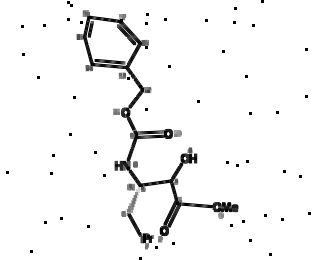 COC(=O)C(O)[C@H](CC(C)C)NC(=O)OCc1ccccc1